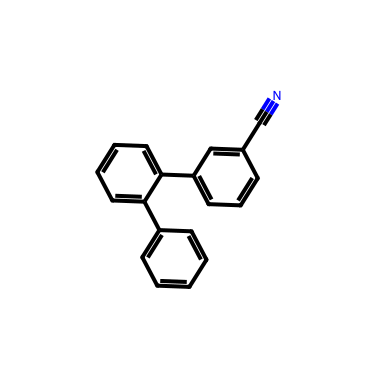 N#Cc1cccc(-c2ccccc2-c2ccccc2)c1